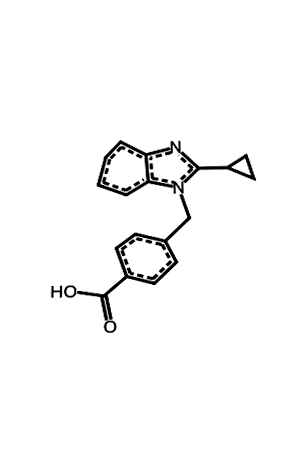 O=C(O)c1ccc(Cn2c(C3CC3)nc3ccccc32)cc1